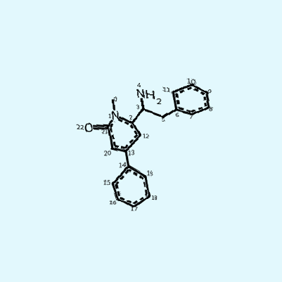 Cn1c(C(N)Cc2ccccc2)cc(-c2ccccc2)cc1=O